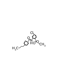 CCCCc1ccc(C(=O)Nc2cc(Cl)ccc2C(=O)OCC)cc1